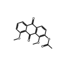 COc1cccc2c1C(=O)c1c(ccc(OC(C)=O)c1OC)C2=O